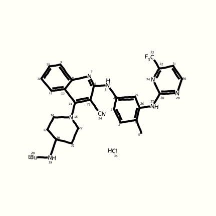 Cc1ccc(Nc2nc3ccccc3c(N3CCC(NC(C)(C)C)CC3)c2C#N)cc1Nc1nccc(C(F)(F)F)n1.Cl